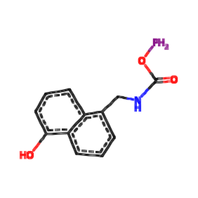 O=C(NCc1cccc2c(O)cccc12)OP